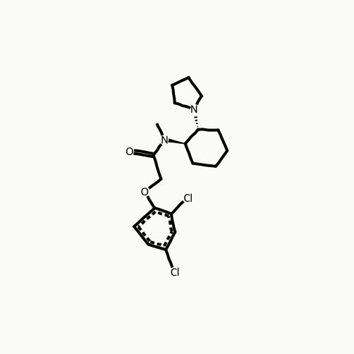 CN(C(=O)COc1ccc(Cl)cc1Cl)[C@@H]1CCCC[C@H]1N1CCCC1